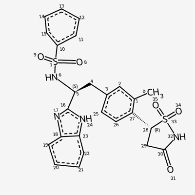 Cc1cc(C[C@H](NS(=O)(=O)c2ccccc2)c2nc3ccccc3[nH]2)ccc1[C@H]1CC(=O)NS1(=O)=O